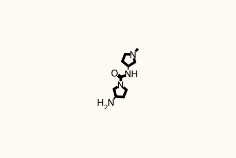 CN1CC[C@@H](NC(=O)N2CC[C@@H](N)C2)C1